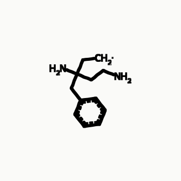 [CH2]CC(N)(CCN)Cc1ccccc1